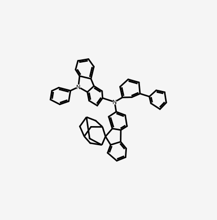 c1ccc(-c2cccc(N(c3ccc4c(c3)C3(c5ccccc5-4)C4CC5CC(C4)CC3C5)c3ccc4c(c3)c3ccccc3n4-c3ccccc3)c2)cc1